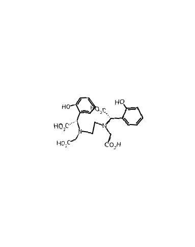 O=C(O)CN(CCN(CC(=O)O)[C@H](C(=O)O)c1ccccc1O)[C@H](C(=O)O)c1ccccc1O